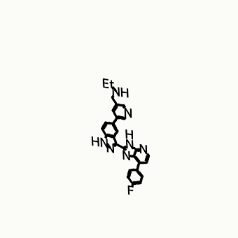 CCNCc1cncc(-c2ccc3[nH]nc(-c4nc5c(-c6ccc(F)cc6)ccnc5[nH]4)c3c2)c1